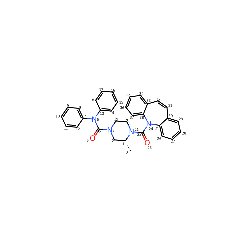 C[C@@H]1CN(C(=O)N(c2ccccc2)c2ccccc2)CCN1C(=O)N1c2ccccc2C=Cc2ccccc21